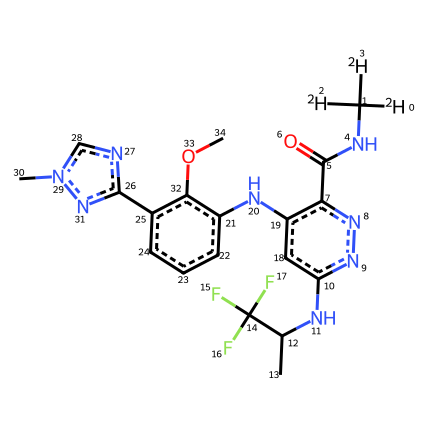 [2H]C([2H])([2H])NC(=O)c1nnc(NC(C)C(F)(F)F)cc1Nc1cccc(-c2ncn(C)n2)c1OC